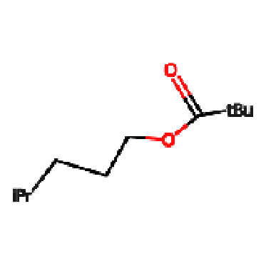 CC(C)CCCOC(=O)C(C)(C)C